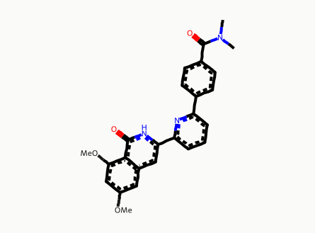 COc1cc(OC)c2c(=O)[nH]c(-c3cccc(-c4ccc(C(=O)N(C)C)cc4)n3)cc2c1